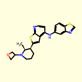 C[C@H]1[C@@H](c2cc3c(Nc4ccc5scnc5c4)ccnc3s2)CCCN1C1COC1